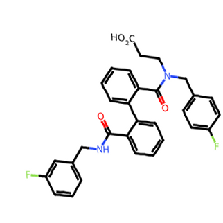 O=C(O)CCN(Cc1ccc(F)cc1)C(=O)c1ccccc1-c1ccccc1C(=O)NCc1cccc(F)c1